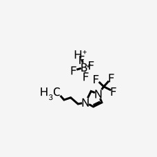 CCCCN1C=CN(C(F)(F)F)C1.F[B-](F)(F)F.[H+]